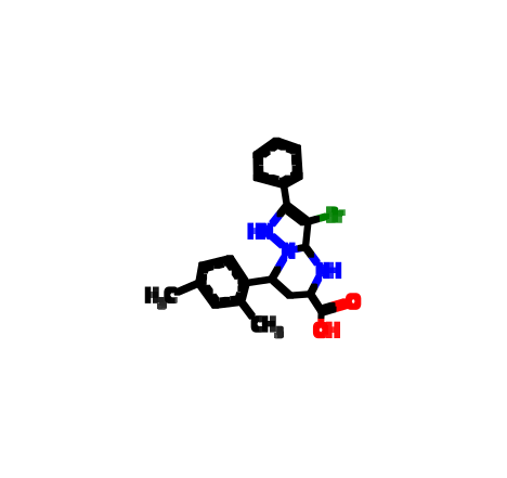 Cc1ccc(C2CC(C(=O)O)NC3C(Br)=C(c4ccccc4)NN32)c(C)c1